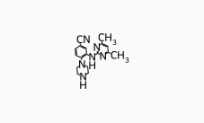 Cc1cc(C)nc(Nc2cc(C#N)ccc2N2CCNCC2)n1